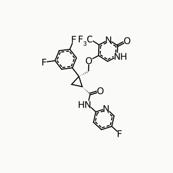 O=C(Nc1ccc(F)cn1)[C@@H]1C[C@@]1(COc1c[nH]c(=O)nc1C(F)(F)F)c1cc(F)cc(F)c1